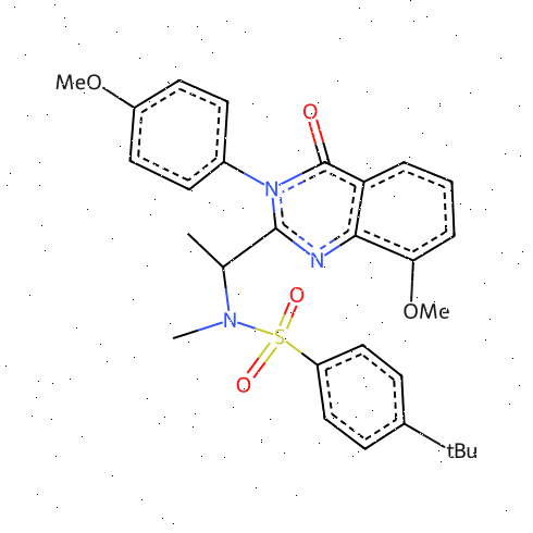 COc1ccc(-n2c(C(C)N(C)S(=O)(=O)c3ccc(C(C)(C)C)cc3)nc3c(OC)cccc3c2=O)cc1